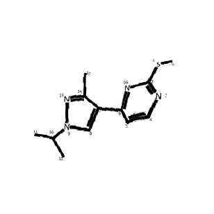 CSc1nccc(-c2cn(C(C)C)nc2C)n1